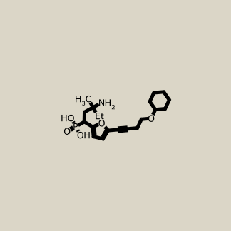 CCC(C)(N)CC(c1ccc(C#CCCOC2CCCCC2)o1)P(=O)(O)O